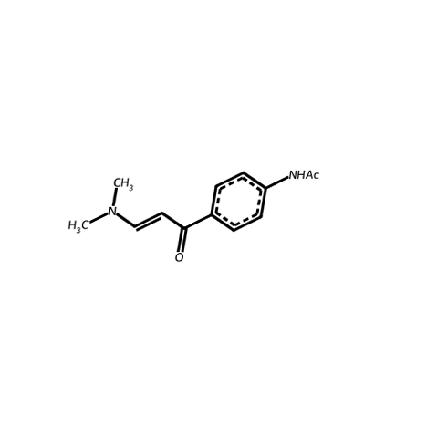 CC(=O)Nc1ccc(C(=O)/C=C/N(C)C)cc1